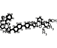 COC(=O)N[C@H](C(=O)N1CCC[C@H]1C1=NCC(c2ccc(-c3ccc4cc(-c5c[nH]c([C@@H]6CCCN6C(=O)[C@@H](c6ccccc6)N(C)C)n5)ccc4c3)cc2)N1)C(C)C